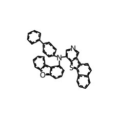 c1ccc(-c2ccc(N(c3cncc4c3sc3c5ccccc5ccc43)c3cccc4oc5ccccc5c34)cc2)cc1